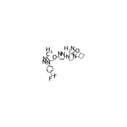 Cc1nnn(-c2ccc(C(F)F)cc2)c1COc1ccc(N2CCN(C3CCCC3)[C@H](C(N)=O)C2)nn1